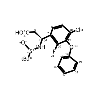 CC(C)(C)[S+]([O-])N[C@@H](CC(=O)O)c1ccc(Cl)c(Oc2ccccc2)c1F